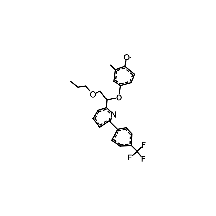 CCCOCC(Oc1ccc([O])c(C)c1)c1cccc(-c2ccc(C(F)(F)F)cc2)n1